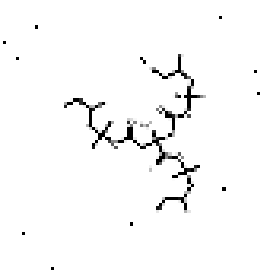 CCC(C)CC(C)(C)OC(=O)CC(O)(CC(=O)OC(C)(C)CC(C)CC)C(=O)OC(C)(C)CC(C)CC